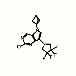 FC1(F)CN(c2cn(C34CC(C3)C4)c3cnc(Cl)nc23)CC1(F)F